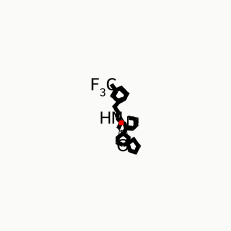 FC(F)(F)c1cccc(CCNCC[C@@]2(c3ccccn3)CCOC3(CCCC3)C2)c1